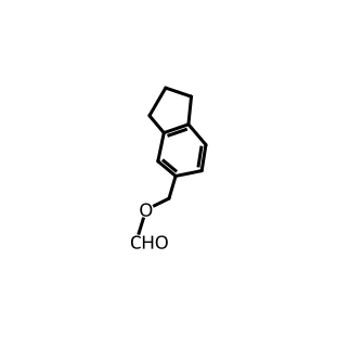 O=COCc1ccc2c(c1)CCC2